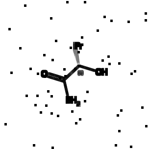 BC(=O)[C@@H](O)C(C)C